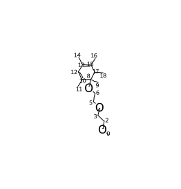 COCCOCCOC1(C)C(C)=CC(C)=C(C)C1C